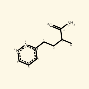 CC(C[CH]c1cccnn1)C(N)=O